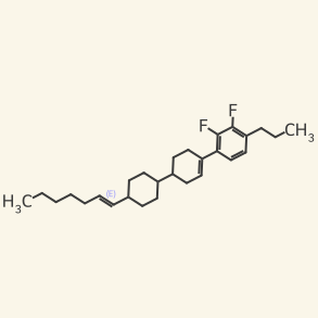 CCCCC/C=C/C1CCC(C2CC=C(c3ccc(CCC)c(F)c3F)CC2)CC1